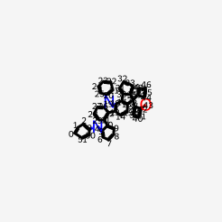 c1ccc(-n2c3ccccc3c3c4c5ccc6c(c5n(-c5ccccc5)c4ccc32)-c2ccccc2C62c3ccccc3Oc3ccccc32)cc1